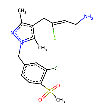 Cc1nn(Cc2ccc(S(C)(=O)=O)c(Cl)c2)c(C)c1C/C(F)=C/CN